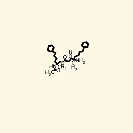 CC(=O)NC(C)(CCCCc1ccccc1)COC(=O)CC(O)C(C)(N)CCCCc1ccccc1